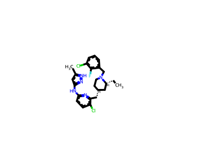 CC[C@@H]1C[C@H](Cc2nc(Nc3cc(C)[nH]n3)ccc2Cl)CCN1Cc1cccc(Cl)c1F